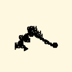 O=C(Nc1c(Cl)c[n+](Cc2ccc(C(O)CNCCCCCCOCCCCc3ccccc3)cc2OP(=O)(O)O)cc1Cl)c1ccc(OC(F)F)c(OCC2CC2)c1